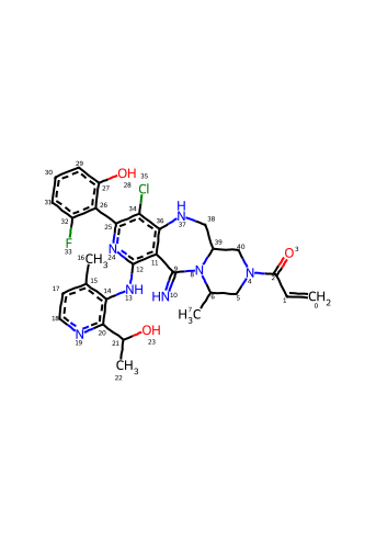 C=CC(=O)N1CC(C)N2C(=N)c3c(Nc4c(C)ccnc4C(C)O)nc(-c4c(O)cccc4F)c(Cl)c3NCC2C1